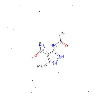 COc1n[nH]c(NC(=O)C(C)C)c1C(N)=O